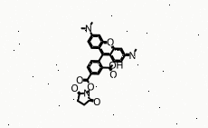 C/N=c1/ccc2c(-c3ccc(C(=O)ON4C(=O)CCC4=O)cc3C(=O)O)c3ccc(N(C)C)cc3oc-2c1